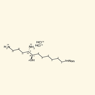 CCCCCCCCCCCCCCC[C@@H](O)[C@@H](N)CCCN.Cl.Cl